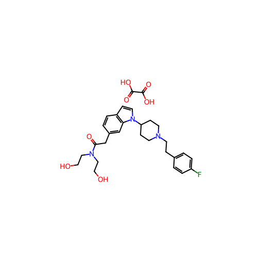 O=C(Cc1ccc2ccn(C3CCN(CCc4ccc(F)cc4)CC3)c2c1)N(CCO)CCO.O=C(O)C(=O)O